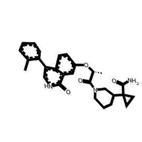 Cc1ccccc1-c1c[nH]c(=O)c2cc(O[C@H](C)C(=O)N3CCCC(C4(C(N)=O)CC4)C3)ccc12